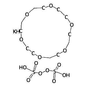 C1COCCOCCOCCOCCOCCO1.O=S(=O)(O)OOS(=O)(=O)O.[KH]